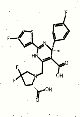 C[C@@]1(c2ccc(F)cc2)N=C(c2cc(F)cs2)NC(CN2CC(F)(F)C[C@H]2C(=O)O)=C1C(=O)O